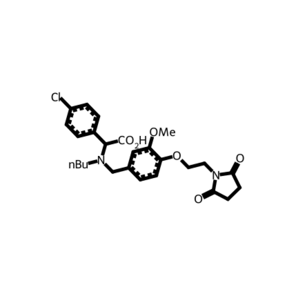 CCCCN(Cc1ccc(OCCN2C(=O)CCC2=O)c(OC)c1)C(C(=O)O)c1ccc(Cl)cc1